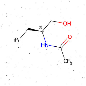 CC(C)C[C@@H](CO)NC(=O)C(F)(F)F